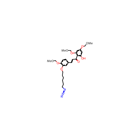 COCOc1cc(O)c(C(=O)C=Cc2ccc(OCOC)c(OCCCCCCN=[N+]=[N-])c2)c(OCOC)c1